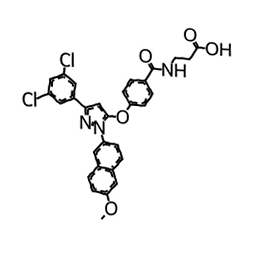 COc1ccc2cc(-n3nc(-c4cc(Cl)cc(Cl)c4)cc3Oc3ccc(C(=O)NCCC(=O)O)cc3)ccc2c1